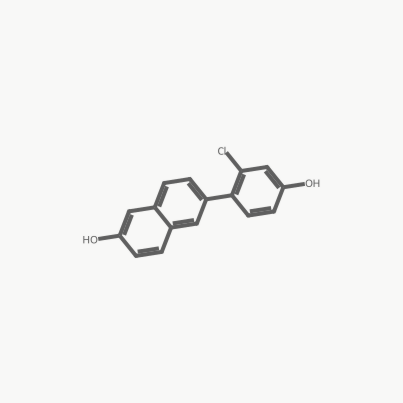 Oc1ccc(-c2ccc3cc(O)ccc3c2)c(Cl)c1